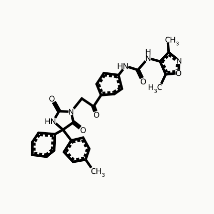 Cc1ccc(C2(c3ccccc3)NC(=O)N(CC(=O)c3ccc(NC(=O)Nc4c(C)noc4C)cc3)C2=O)cc1